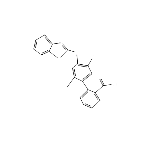 Cc1cc(Sc2nc3ccccc3s2)c(F)cc1-c1ccccc1C(N)=O